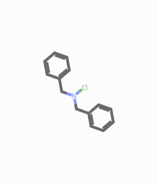 ClN(Cc1ccccc1)Cc1ccccc1